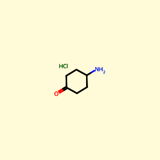 Cl.NC1CCC(=O)CC1